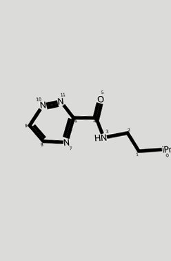 CC(C)CCNC(=O)c1nccnn1